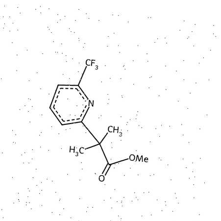 COC(=O)C(C)(C)c1cccc(C(F)(F)F)n1